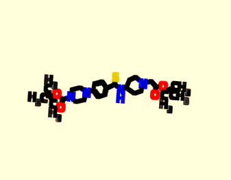 CC(C)(C)OC(=O)CN1CCC(NC(=S)c2ccc(N3CCN(C(=O)OC(C)(C)C)CC3)cc2)CC1